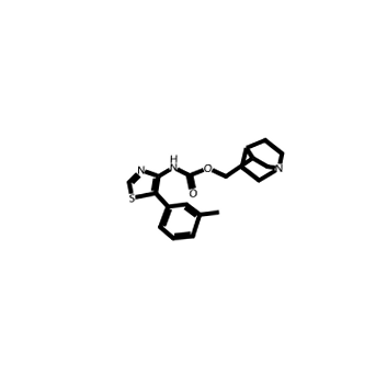 Cc1cccc(-c2scnc2NC(=O)OCC2CN3CCC2CC3)c1